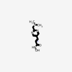 CN(C)Cc1ncc(/C=C/C(=O)NO)cn1